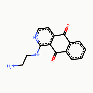 NCCNc1nccc2c1C(=O)c1ccccc1C2=O